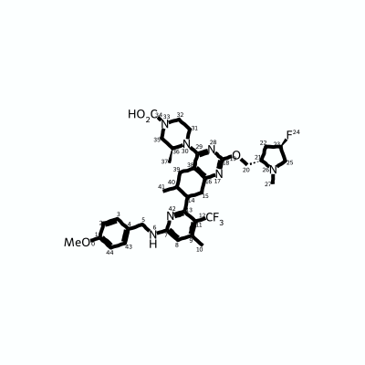 COc1ccc(CNc2cc(C)c(C(F)(F)F)c(C3Cc4nc(OC[C@@H]5C[C@@H](F)CN5C)nc(N5CCN(C(=O)O)C[C@@H]5C)c4CC3C)n2)cc1